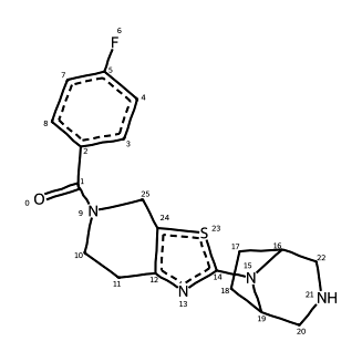 O=C(c1ccc(F)cc1)N1CCc2nc(N3C4CCC3CNC4)sc2C1